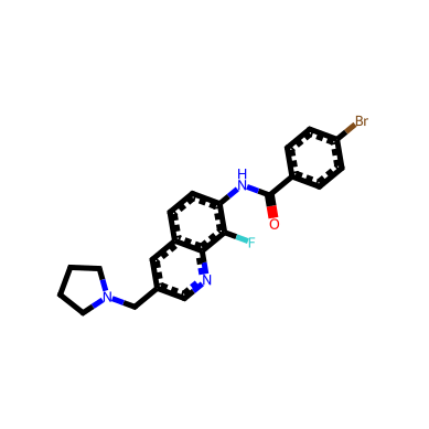 O=C(Nc1ccc2cc(CN3CCCC3)cnc2c1F)c1ccc(Br)cc1